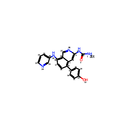 CCNC(=O)Nc1cc2c(-c3ccc(O)cc3)ccc(Nc3cccnc3)c2cn1